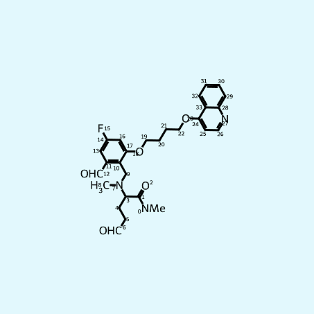 CNC(=O)C(CCC=O)N(C)Cc1c(C=O)cc(F)cc1OCCCCOc1ccnc2ccccc12